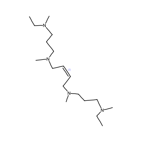 CCN(C)CCCN(C)C/C=C\CN(C)CCCN(C)CC